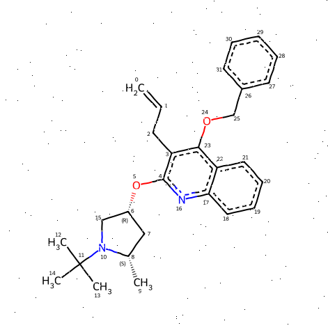 C=CCc1c(O[C@@H]2C[C@H](C)N(C(C)(C)C)C2)nc2ccccc2c1OCc1ccccc1